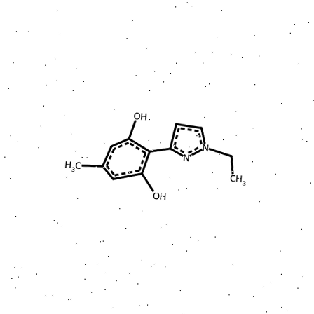 CCn1ccc(-c2c(O)cc(C)cc2O)n1